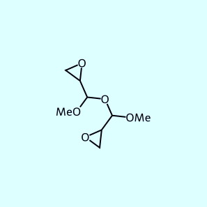 COC(OC(OC)C1CO1)C1CO1